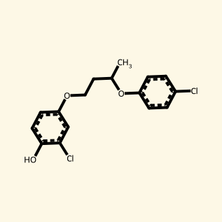 CC(CCOc1ccc(O)c(Cl)c1)Oc1ccc(Cl)cc1